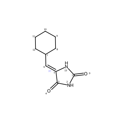 O=C1NC(=O)/C(=C/C2CCCCC2)N1